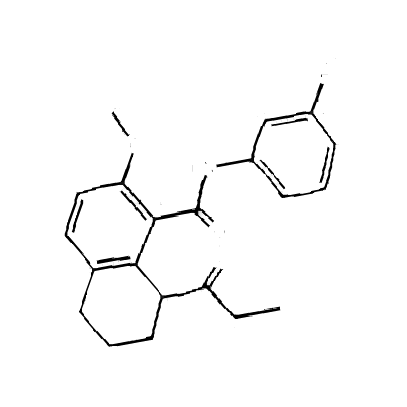 CCC(=O)C1CCCc2ccc(OC)c(C(=O)Nc3cccc(F)c3)c21